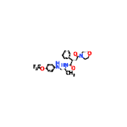 C[C@@H](CNc1ccc(OC(F)(F)F)cc1)NC(=O)[C@@H](CC(=O)N1CCOCC1)c1ccccc1